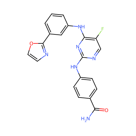 NC(=O)c1ccc(Nc2ncc(F)c(Nc3cccc(-c4ncco4)c3)n2)cc1